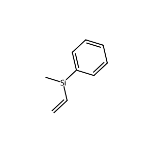 C=C[Si](C)c1ccccc1